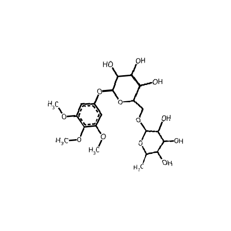 COc1cc(OC2OC(COC3OC(C)C(O)C(O)C3O)C(O)C(O)C2O)cc(OC)c1OC